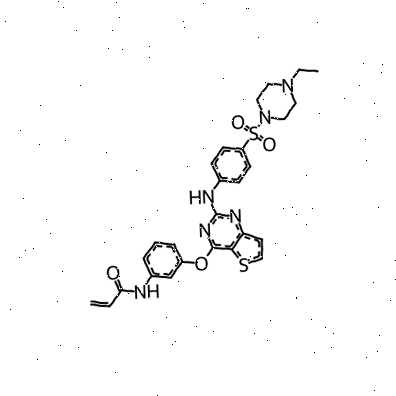 C=CC(=O)Nc1cccc(Oc2nc(Nc3ccc(S(=O)(=O)N4CCN(CC)CC4)cc3)nc3ccsc23)c1